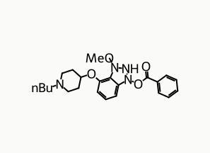 CCCCN1CCC(Oc2cccc3c2N(OC)NN3OC(=O)c2ccccc2)CC1